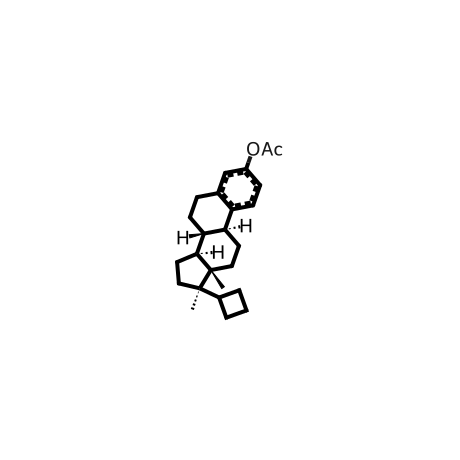 CC(=O)Oc1ccc2c(c1)CC[C@@H]1[C@@H]2CC[C@@]2(C)[C@H]1CC[C@]2(C)C1CCC1